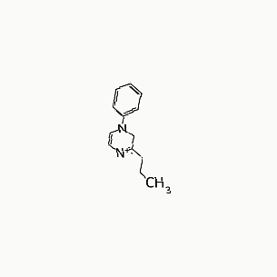 CCCC1=[N+]C=CN(c2ccccc2)C1